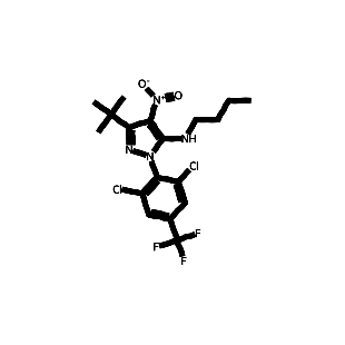 CCCCNc1c([N+](=O)[O-])c(C(C)(C)C)nn1-c1c(Cl)cc(C(F)(F)F)cc1Cl